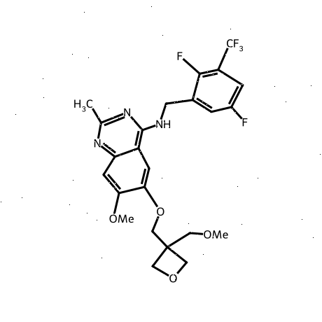 COCC1(COc2cc3c(NCc4cc(F)cc(C(F)(F)F)c4F)nc(C)nc3cc2OC)COC1